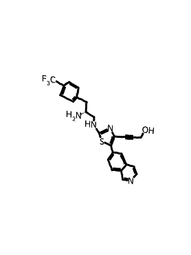 N[C@@H](CNc1nc(C#CCO)c(-c2ccc3cnccc3c2)s1)Cc1ccc(C(F)(F)F)cc1